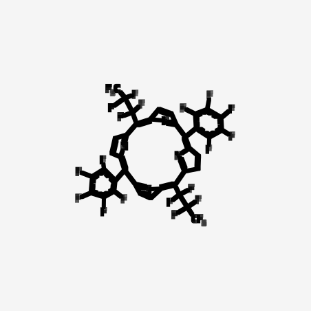 Fc1c(F)c(F)c(C2=C3C=CC(=N3)C(C(F)(F)C(F)(F)C(F)(F)F)=C3C=CC(=N3)C(c3c(F)c(F)c(F)c(F)c3F)=C3C=CC(=N3)C(C(F)(F)C(F)(F)C(F)(F)F)=C3C=CC2=N3)c(F)c1F